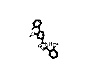 COc1ccccc1C1=NOC(c2ccc(-c3ccccc3C)c(OC)c2)N1